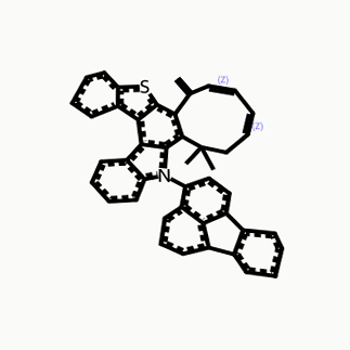 C=C1/C=C\C=C/CC(C)(C)c2c1c1sc3ccccc3c1c1c3ccccc3n(-c3ccc4c5c(cccc35)-c3ccccc3-4)c21